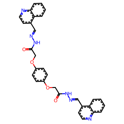 O=C(COc1ccc(OCC(=O)N/N=C/c2ccnc3ccccc23)cc1)N/N=C/c1ccnc2ccccc12